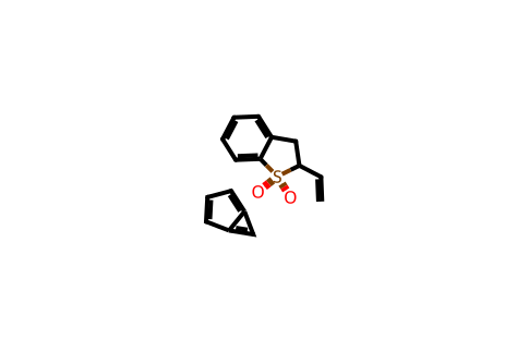 C=CC1Cc2ccccc2S1(=O)=O.c1cc2cc-2c1